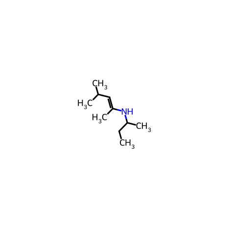 CCC(C)N/C(C)=C/C(C)C